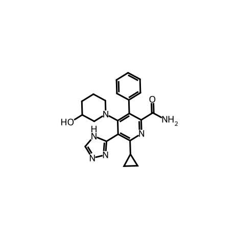 NC(=O)c1nc(C2CC2)c(-c2nnc[nH]2)c(N2CCCC(O)C2)c1-c1ccccc1